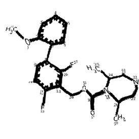 COc1ccccc1-c1ccc(F)c(COC(=O)N2C(C)CNCC2C)c1F